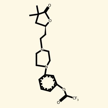 CC1(C)C[C@H](CCN2CCN(c3cccc(OC(=O)C(F)(F)F)c3)CC2)OC1=O